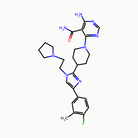 Cc1cc(-c2cn(CCN3CCCC3)c(C3CCN(c4ncnc(N)c4C(N)=O)CC3)n2)ccc1F